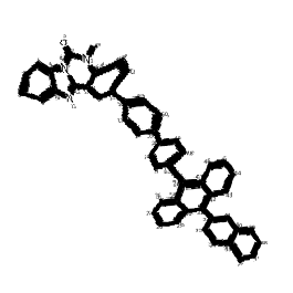 Cn1c(=O)n2c3ccccc3nc2c2cc(-c3ccc(-c4ccc(-c5c6ccccc6c(-c6ccc7ccccc7c6)c6ccccc56)cc4)cc3)ccc21